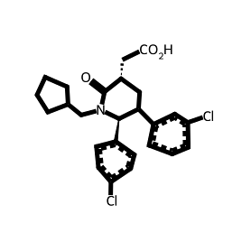 O=C(O)C[C@@H]1CC(c2cccc(Cl)c2)[C@@H](c2ccc(Cl)cc2)N(CC2CCCC2)C1=O